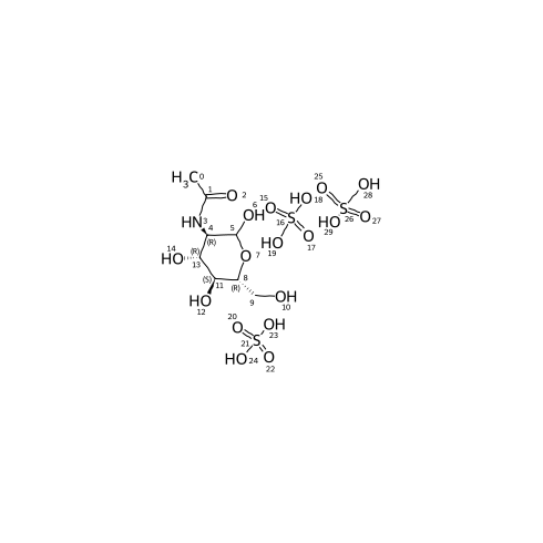 CC(=O)N[C@H]1C(O)O[C@H](CO)[C@@H](O)[C@@H]1O.O=S(=O)(O)O.O=S(=O)(O)O.O=S(=O)(O)O